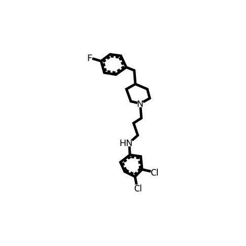 Fc1ccc(CC2CCN(CCCNc3ccc(Cl)c(Cl)c3)CC2)cc1